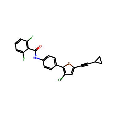 O=C(Nc1ccc(-c2sc(C#CC3CC3)cc2Cl)cc1)c1c(F)cccc1F